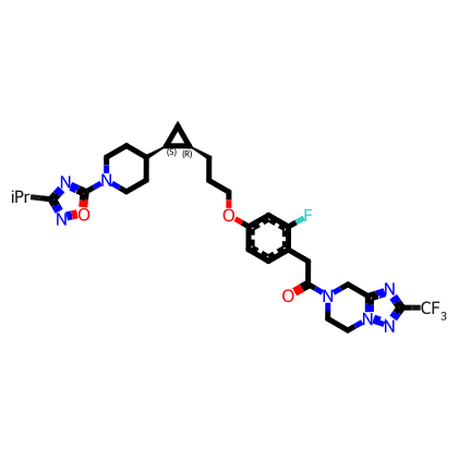 CC(C)c1noc(N2CCC([C@H]3C[C@H]3CCCOc3ccc(CC(=O)N4CCn5nc(C(F)(F)F)nc5C4)c(F)c3)CC2)n1